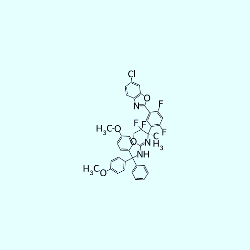 COc1ccc(C(NC2=N[C@](C)(c3cc(-c4nc5ccc(Cl)cc5o4)c(F)cc3F)C(F)(F)CO2)(c2ccccc2)c2ccc(OC)cc2)cc1